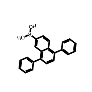 OB(O)c1ccc2c(-c3ccccc3)ccc(-c3ccccc3)c2c1